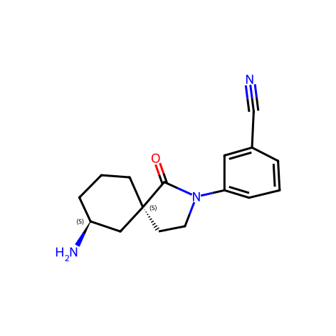 N#Cc1cccc(N2CC[C@]3(CCC[C@H](N)C3)C2=O)c1